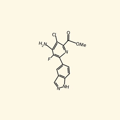 COC(=O)c1nc(-c2ccc3[nH]ncc3c2)c(F)c(N)c1Cl